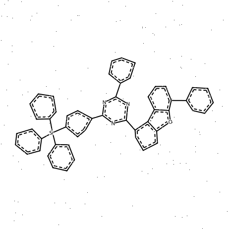 c1ccc(-c2nc(-c3ccc([Si](c4ccccc4)(c4ccccc4)c4ccccc4)cc3)nc(-c3cccc4oc5c(-c6ccccc6)cccc5c34)n2)cc1